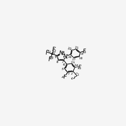 CSc1c(F)cc(-c2cc(C(F)(F)F)nn2-c2ccc(F)cc2)cc1F